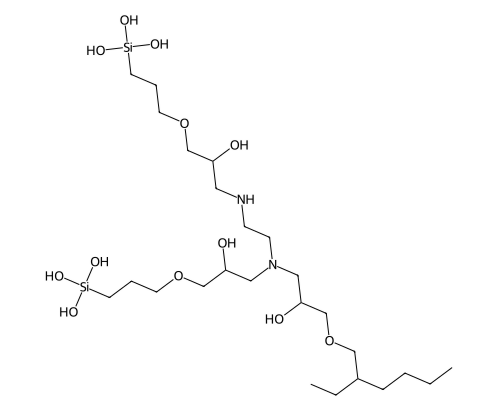 CCCCC(CC)COCC(O)CN(CCNCC(O)COCCC[Si](O)(O)O)CC(O)COCCC[Si](O)(O)O